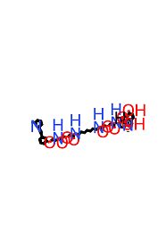 Cc1cccc(C#Cc2cccc(OCCNC(=O)COCC(=O)NCCCCCCCNC(=O)COCC(=O)N[C@H]3CC[C@@]4(O)C5Cc6ccc(O)c7c6[C@@]4(CCN5C)[C@H]3O7)c2)n1